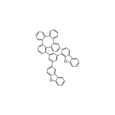 c1ccc2c(c1)-c1ccccc1-c1cccc(-c3cc(-c4ccc5oc6ccccc6c5c4)cc(-c4cccc5c4oc4ccccc45)c3)c1-c1ccccc1-2